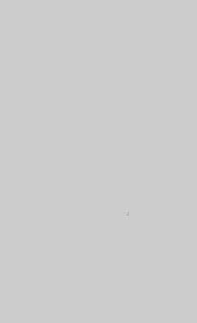 C=CC1CCC(c2ccc(-c3ccc(NCCC)cc3)cc2)CC1